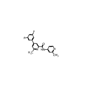 Cc1cc(NC(=O)c2cc(-c3cc(F)cc(F)c3)cc(C)n2)ccn1